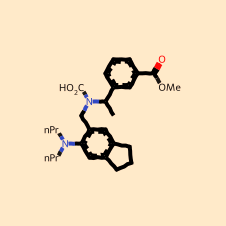 CCCN(CCC)c1cc2c(cc1CN(C(=O)O)C(C)c1cccc(C(=O)OC)c1)CCC2